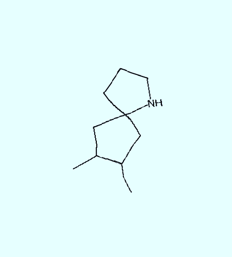 CC1CC2(CCCN2)CC1C